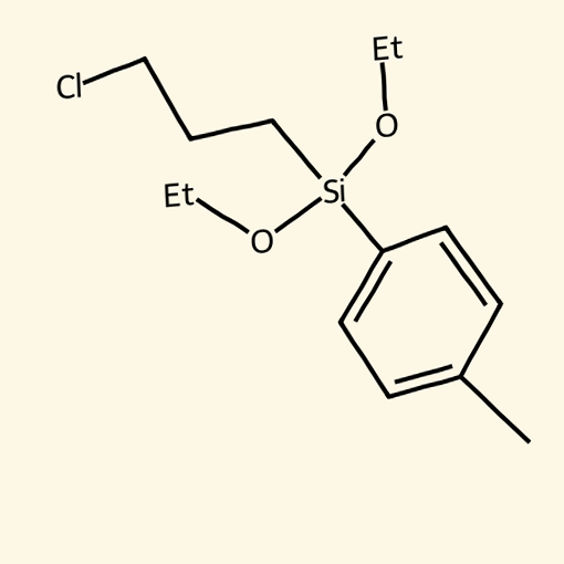 CCO[Si](CCCCl)(OCC)c1ccc(C)cc1